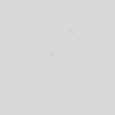 c1ccc(N2CCN3CCC[C@H]3C2)cc1